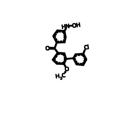 COc1ccc(C(=O)c2ccc(NO)cc2)cc1-c1cccc(Cl)c1